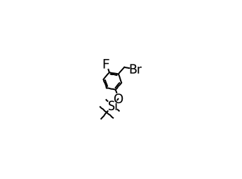 CC(C)(C)[Si](C)(C)Oc1ccc(F)c(CBr)c1